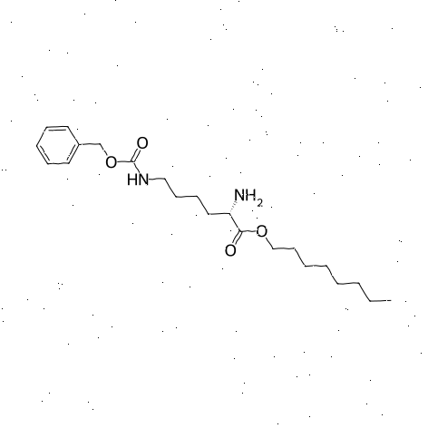 CCCCCCCCOC(=O)[C@@H](N)CCCCNC(=O)OCc1ccccc1